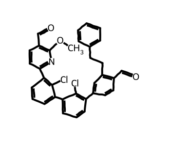 COc1nc(-c2cccc(-c3cccc(-c4ccc(C=O)c(CCc5ccccc5)c4)c3Cl)c2Cl)ccc1C=O